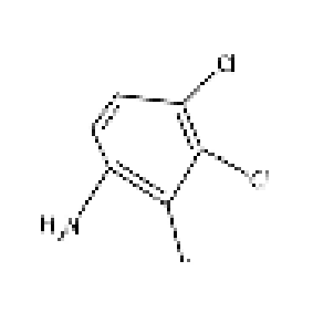 [CH2]c1c(N)ccc(Cl)c1Cl